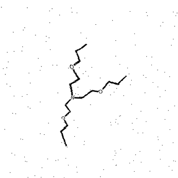 CCCOCCN(CCOCCC)CCOCCC